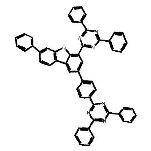 c1ccc(-c2ccc3c(c2)oc2c(-c4nc(-c5ccccc5)nc(-c5ccccc5)n4)cc(-c4ccc(-c5nc(-c6ccccc6)nc(-c6ccccc6)n5)cc4)cc23)cc1